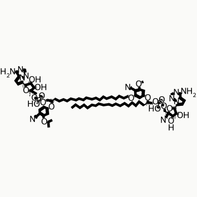 CCCCCCCCCCCCCCCCCCC[C@H](COP(=O)(O)OC[C@@]1(C#N)O[C@@H](c2ccc3c(N)ncnn23)[C@H](O)[C@@H]1O)Oc1cc(OC)c(C#N)c(OCCCCCCCCCCCCCCCCCCC[C@H](COP(=O)(O)OC[C@@]2(C)O[C@@H](c3ccc4c(N)ncnn34)[C@H](O)[C@@H]2O)Oc2ccc(C#N)c(OC(C)C)c2)c1